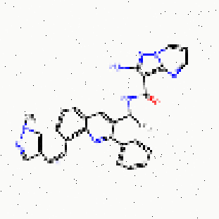 CC(NC(=O)c1c(N)nn2cccnc12)c1cc2cccc(/C=C\c3cnn(C)c3)c2nc1-c1ccccc1